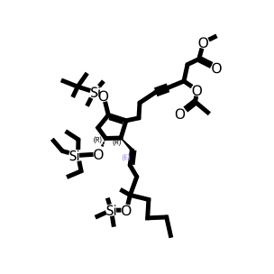 CCCCC(C)(C/C=C/[C@@H]1C(CCC#CC(CC(=O)OC)OC(C)=O)=C(O[Si](C)(C)C(C)(C)C)C[C@H]1O[Si](CC)(CC)CC)O[Si](C)(C)C